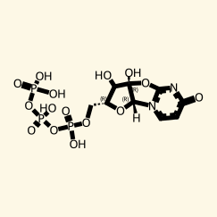 O=c1ccn2c(n1)O[C@]1(O)C(O)[C@@H](COP(=O)(O)OP(=O)(O)OP(=O)(O)O)O[C@@H]21